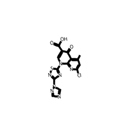 Cc1cc(Cl)nc2c1c(=O)c(C(=O)O)cn2-c1nc(-n2cncn2)ns1